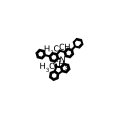 CC1(C)c2cc(-c3ccccc3)ccc2N(c2cccc3c2C(C)(C)c2ccccc2-3)c2ccc(C3C=CC=CC3)cc21